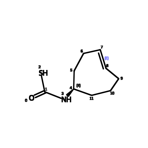 O=C(S)N[C@H]1CC/C=C/CCC1